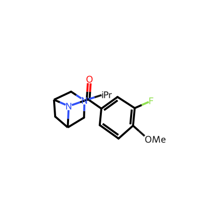 COc1ccc(C(=O)N2C3CC2CN(C(C)C)C3)cc1F